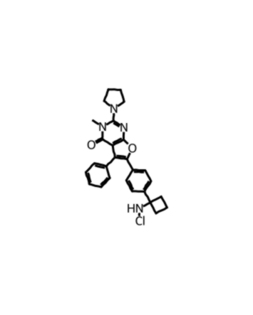 Cn1c(N2CCCC2)nc2oc(-c3ccc(C4(NCl)CCC4)cc3)c(-c3ccccc3)c2c1=O